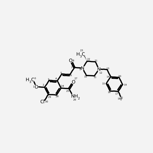 COc1cc(C=CC(=O)N2CCN(Cc3ccc(F)cc3)C[C@H]2C)c(C(N)=O)cc1Cl